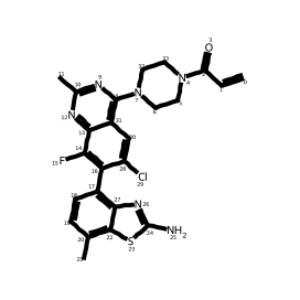 C=CC(=O)N1CCN(c2nc(C)nc3c(F)c(-c4ccc(C)c5sc(N)nc45)c(Cl)cc23)CC1